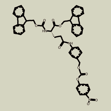 O=C(CC[C@H](NC(=O)OCC1c2ccccc2-c2ccccc21)C(=O)OCC1c2ccccc2-c2ccccc21)Nc1ccc(COC(=O)Oc2ccc([N+](=O)[O-])cc2)cc1